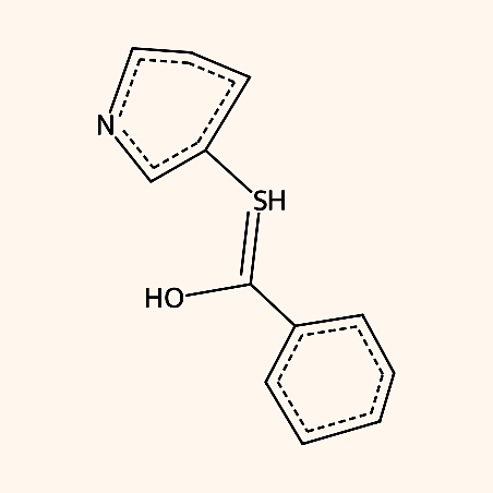 OC(=[SH]c1cccnc1)c1ccccc1